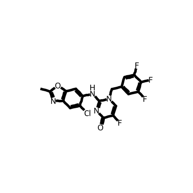 Cc1nc2cc(Cl)c(Nc3nc(=O)c(F)cn3Cc3cc(F)c(F)c(F)c3)cc2o1